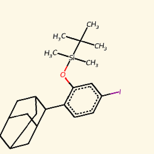 CC(C)(C)[Si](C)(C)Oc1cc(I)ccc1C1C2CC3CC(C2)CC1C3